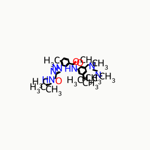 COc1c(CN(C)CCN(C)C)cc(C(C)(C)C)cc1NC(=O)c1ccc(C)c(-n2cc(C(=O)NCC(C)(C)C)nn2)c1